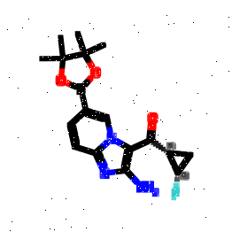 CC1(C)OB(c2ccc3nc(N)c(C(=O)[C@@H]4C[C@@H]4F)n3c2)OC1(C)C